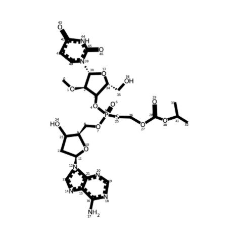 CO[C@@H]1C(OP(=O)(OC[C@H]2O[C@@H](n3cnc4c(N)ncnc43)CC2O)SCOC(=O)OC(C)C)[C@@H](CO)O[C@H]1n1ccc(=O)[nH]c1=O